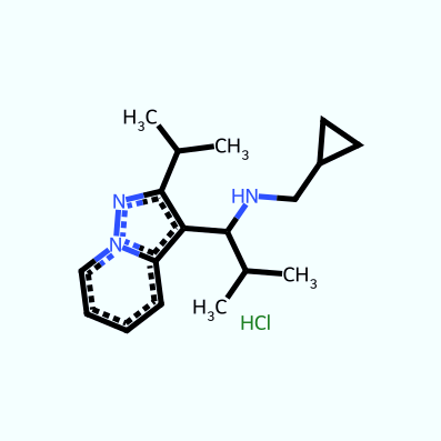 CC(C)c1nn2ccccc2c1C(NCC1CC1)C(C)C.Cl